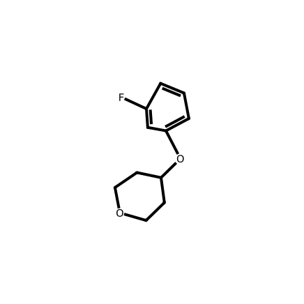 Fc1cccc(OC2CCOCC2)c1